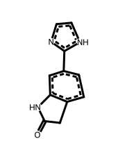 O=C1Cc2ccc(-c3ncc[nH]3)cc2N1